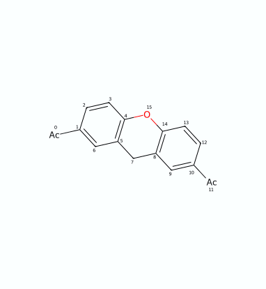 CC(=O)c1ccc2c(c1)Cc1cc(C(C)=O)ccc1O2